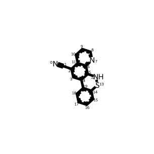 N#Cc1cc2c(c3ncccc13)NSc1ccccc1-2